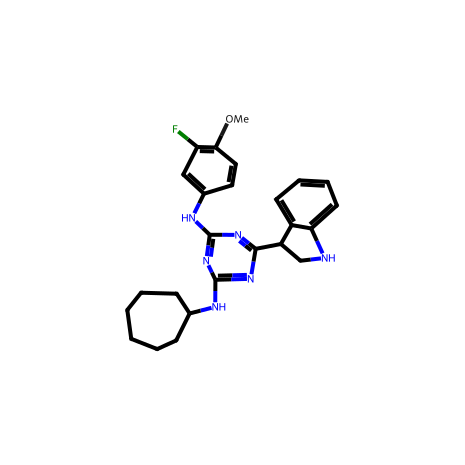 COc1ccc(Nc2nc(NC3CCCCCC3)nc(C3CNc4ccccc43)n2)cc1F